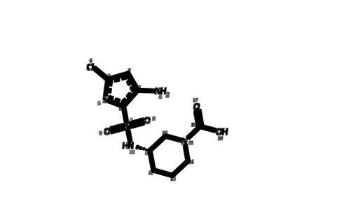 Nc1cc(Cl)sc1S(=O)(=O)N[C@H]1CCCN(C(=O)O)C1